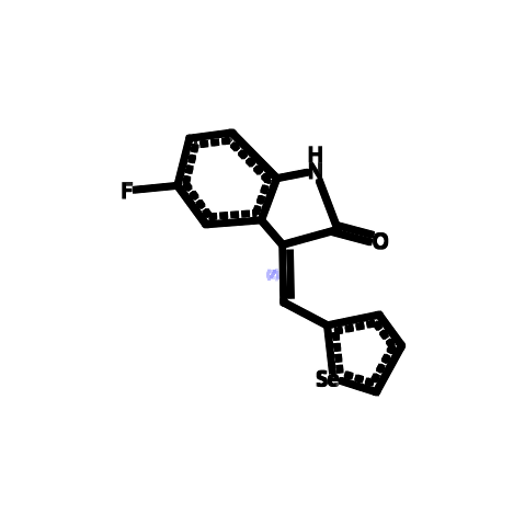 O=C1Nc2ccc(F)cc2/C1=C/c1ccc[se]1